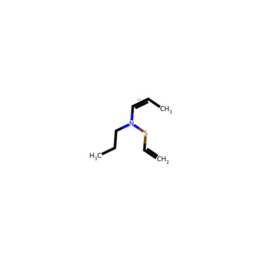 C=CSN(/C=C\C)CCC